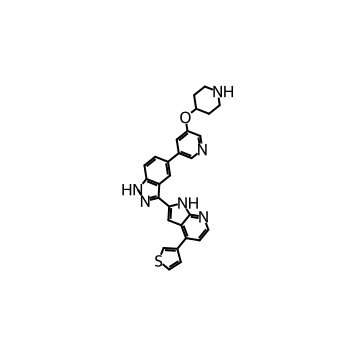 c1cc(-c2ccsc2)c2cc(-c3n[nH]c4ccc(-c5cncc(OC6CCNCC6)c5)cc34)[nH]c2n1